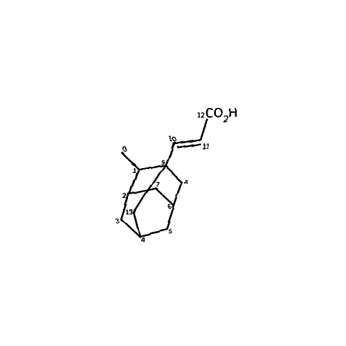 CC1C2CC3CC(C2)CC1(C=CC(=O)O)C3